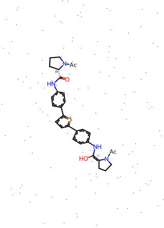 CC(=O)N1CCC/C1=C(\O)Nc1ccc(-c2ccc(-c3ccc(NC(=O)[C@@H]4CCCN4C(C)=O)cc3)s2)cc1